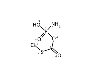 NP(=O)(O)OC(=O)SCl